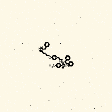 Cc1ccc(S(=O)(=O)N[C@H](c2ccccc2)[C@H](NCCCc2ccc(OCCCCc3cnnn3Cc3ccccc3)cc2)c2ccccc2)cc1